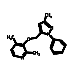 Cc1cc(COc2c(C)ccnc2C)n(-c2ccccc2)n1